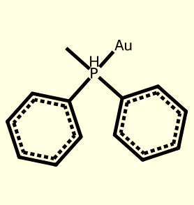 C[PH]([Au])(c1ccccc1)c1ccccc1